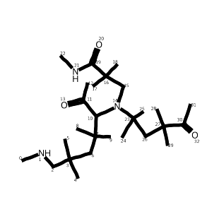 CNCC(C)(C)CC(C)(C)C(C(C)=O)N(CC(C)(C)C(=O)NC)C(C)(C)CC(C)(C)C(C)=O